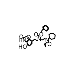 C=CC(=O)N(CCN(CCc1ccc(O)c2c1OCC(=O)N2)C(=O)OCc1ccccc1)C1CCCCCC1